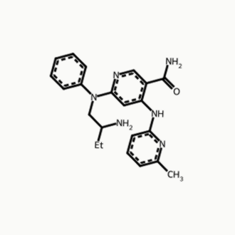 CCC(N)CN(c1ccccc1)c1cc(Nc2cccc(C)n2)c(C(N)=O)cn1